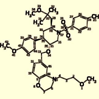 COCCCN1CCOc2ccc(CO[C@H]3CN(S(=O)(=O)c4ccc(C)cc4)[C@H](CC(C)(C)OC)C[C@@H]3c3ccc(OC)cc3)cc21